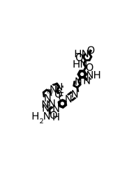 CN1CCN([C@@H]2CCCN(c3nnc(C(N)=O)c(Nc4ccc(N5CCN(CC6CCN(c7ccc(C(=O)NC8CCC(=O)NC8=O)c8[nH]cnc78)C6)CC5)c(F)c4)n3)C2)C1=O